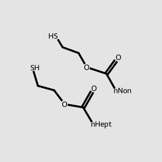 CCCCCCCC(=O)OCCS.CCCCCCCCCC(=O)OCCS